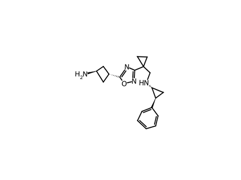 N[C@H]1C[C@H](c2nc(C3(CN[C@@H]4C[C@H]4c4ccccc4)CC3)no2)C1